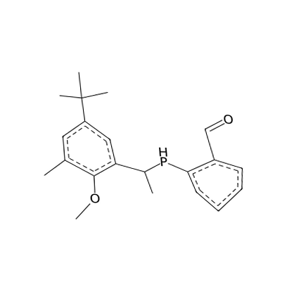 COc1c(C)cc(C(C)(C)C)cc1C(C)Pc1ccccc1C=O